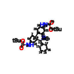 CC(C)(C)OC(=O)Nc1ccc2c(c1)C(c1ccccc1)N([11CH3])c1cc(NC(=O)OC(C)(C)C)ccc1-2